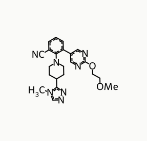 COCCOc1ncc(-c2cccc(C#N)c2N2CCC(c3nncn3C)CC2)cn1